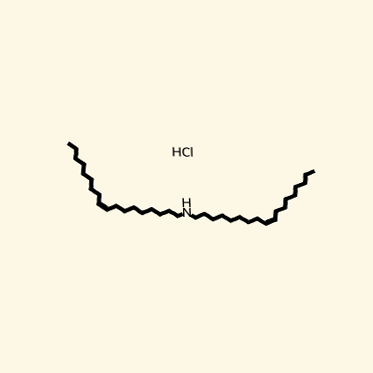 CCCCCCCC/C=C\CCCCCCCCNCCCCCCCC/C=C\CCCCCCCC.Cl